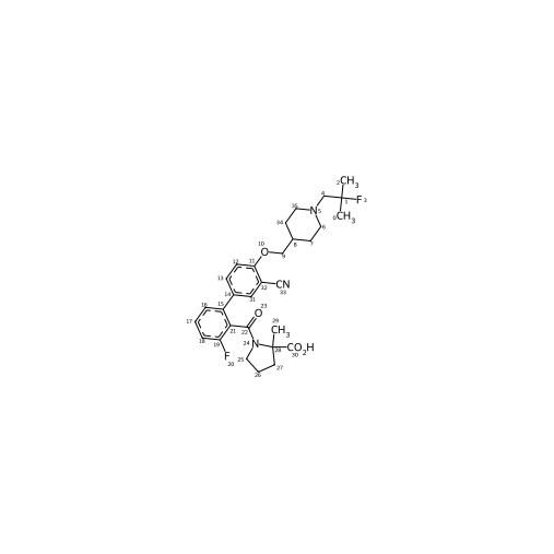 CC(C)(F)CN1CCC(COc2ccc(-c3cccc(F)c3C(=O)N3CCCC3(C)C(=O)O)cc2C#N)CC1